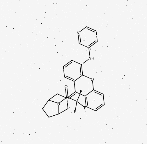 O=C(N1C2CCC1CC(=C1c3ccccc3Oc3c(Nc4cccnc4)cccc31)C2)C(F)(F)F